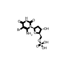 Nc1c(Br)c(=O)[nH]c(=O)n1[C@H]1C[C@H](O)[C@@H](COP(=O)(O)O)O1